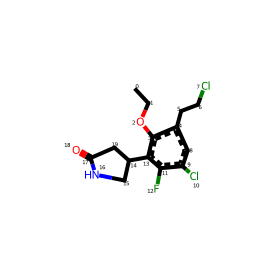 CCOc1c(CCCl)cc(Cl)c(F)c1C1CNC(=O)C1